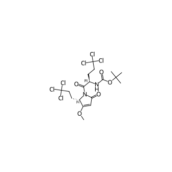 COC1=CC(=O)N(C(=O)[C@@H](CCC(Cl)(Cl)Cl)NC(=O)OC(C)(C)C)[C@H]1CCC(Cl)(Cl)Cl